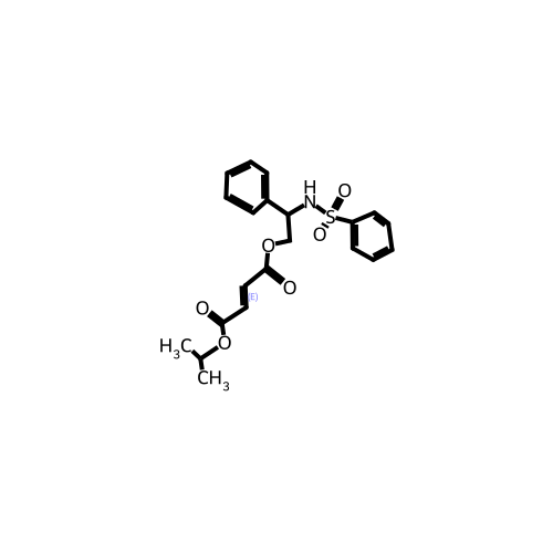 CC(C)OC(=O)/C=C/C(=O)OCC(NS(=O)(=O)c1ccccc1)c1ccccc1